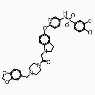 O=C(CN1CCc2cc(Oc3ccc(NS(=O)(=O)c4ccc(Cl)c(Cl)c4)cn3)ccc21)N1CCN(Cc2ccc3c(c2)OCO3)CC1